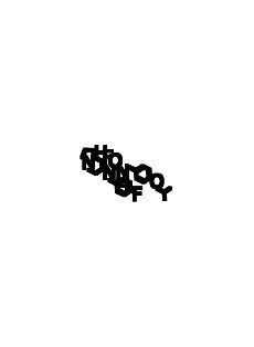 CC(C)COc1ccc(CNC(=O)N(Cc2ccc(F)cc2)[C@@H]2CCN3CCC[C@H]3[C@@H]2F)cc1